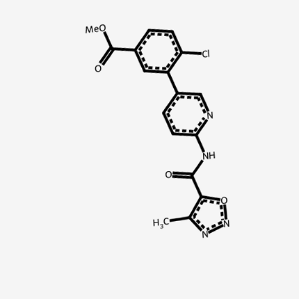 COC(=O)c1ccc(Cl)c(-c2ccc(NC(=O)c3onnc3C)nc2)c1